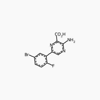 Nc1ncc(-c2cc(Br)ccc2F)nc1C(=O)O